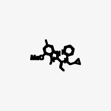 C/C=C(/c1nc2cc(C)cc(OC)c2n1C)N(CC1CC1)c1ccccn1